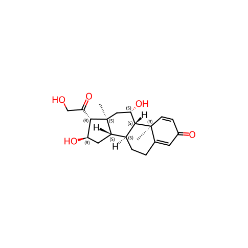 C[C@]12C[C@H](O)[C@H]3[C@@H](CCC4=CC(=O)C=C[C@@]43C)[C@@H]1C[C@@H](O)[C@@H]2C(=O)CO